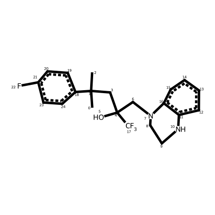 CC(C)(CC(O)(CN1CCNc2ccccc21)C(F)(F)F)c1ccc(F)cc1